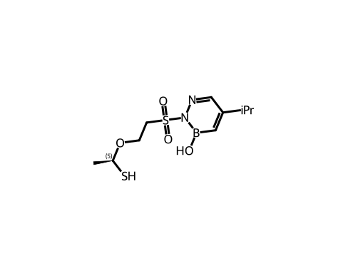 CC(C)C1=CB(O)N(S(=O)(=O)CCO[C@H](C)S)N=C1